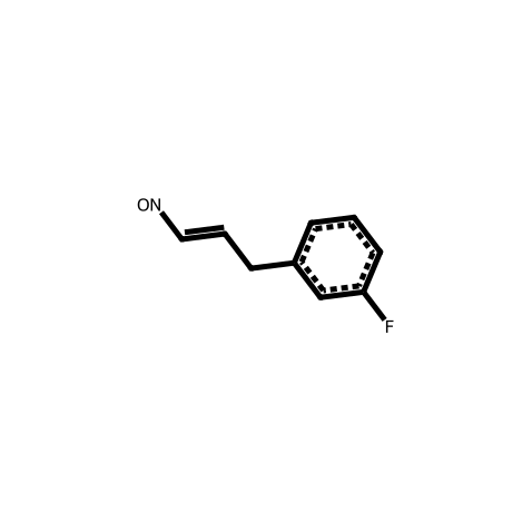 O=NC=CCc1cccc(F)c1